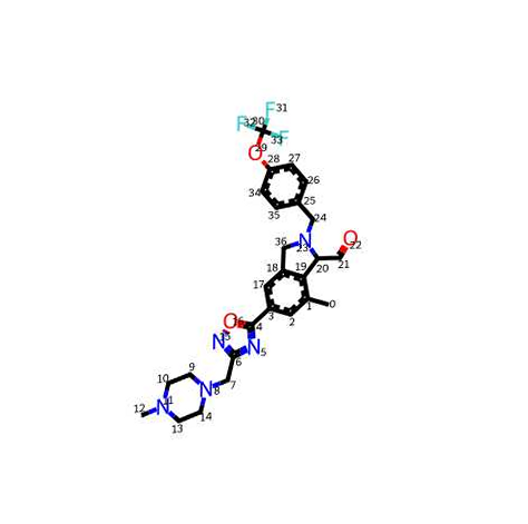 Cc1cc(-c2nc(CN3CCN(C)CC3)no2)cc2c1C(C=O)N(Cc1ccc(OC(F)(F)F)cc1)C2